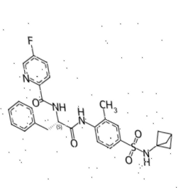 Cc1cc(S(=O)(=O)NC23CC(C2)C3)ccc1NC(=O)[C@H](Cc1ccccc1)NC(=O)c1ccc(F)cn1